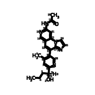 [2H][C@](O)(CCC)c1cc(C)c(-c2cc3cnc(NC(C)=O)cc3n3ccnc23)cn1